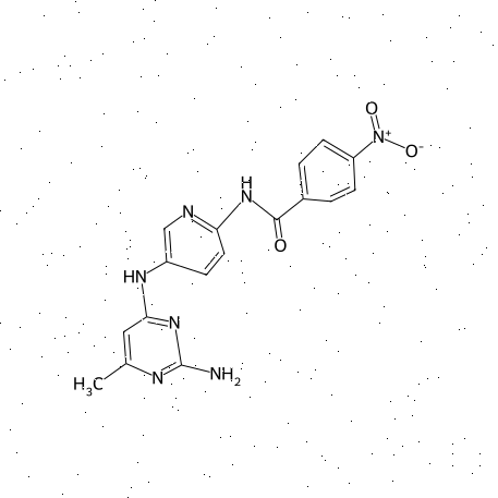 Cc1cc(Nc2ccc(NC(=O)c3ccc([N+](=O)[O-])cc3)nc2)nc(N)n1